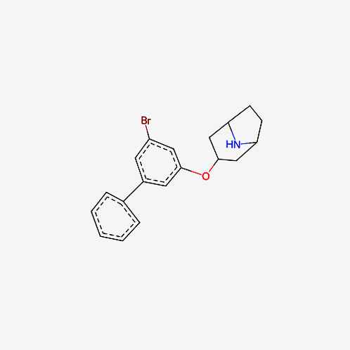 Brc1cc(OC2CC3CCC(C2)N3)cc(-c2ccccc2)c1